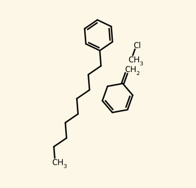 C=C1C=CC=CC1.CCCCCCCCCc1ccccc1.CCl